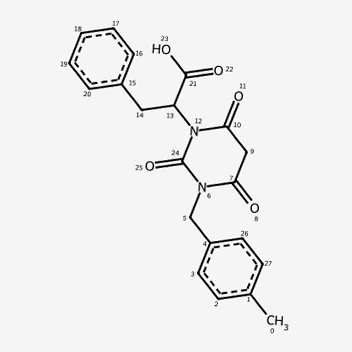 Cc1ccc(CN2C(=O)CC(=O)N(C(Cc3ccccc3)C(=O)O)C2=O)cc1